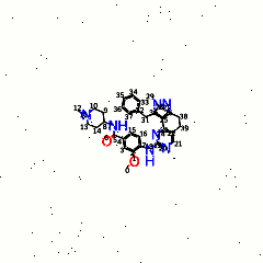 COc1cc(C(=O)NC2CCN(C)CC2)ccc1Nc1ncc2c(n1)-c1c(nn(C)c1Cc1ccccc1)CC2